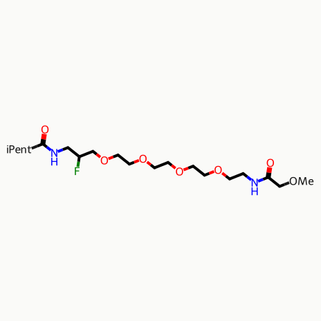 CCCC(C)C(=O)NCC(F)COCCOCCOCCOCCNC(=O)COC